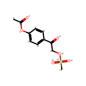 CC(=O)Oc1ccc(C(=O)COS(C)(=O)=O)cc1